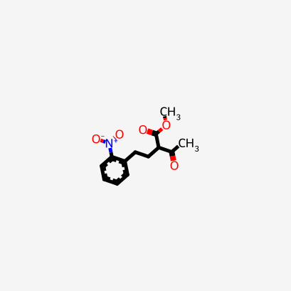 COC(=O)C(CCc1ccccc1[N+](=O)[O-])C(C)=O